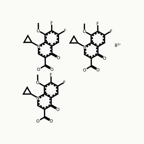 COc1c(F)c(F)cc2c(=O)c(C(=O)[O-])cn(C3CC3)c12.COc1c(F)c(F)cc2c(=O)c(C(=O)[O-])cn(C3CC3)c12.COc1c(F)c(F)cc2c(=O)c(C(=O)[O-])cn(C3CC3)c12.[B+3]